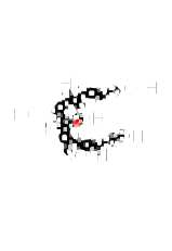 O=S(=O)(O)CNc1ccc2c(O)c(/N=N/c3cc(Nc4nc(F)nc(Nc5ccc(S(=O)(=O)CCOS(=O)(=O)O)cc5)n4)ccc3S(=O)(=O)O)c(SOOO)cc2c1/N=N/c1ccc(S(=O)(=O)CCOSOOO)cc1